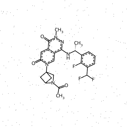 CC(=O)N1CC2(n3cc4c(N[C@H](C)c5cccc(C(F)F)c5F)nn(C)c(=O)c4cc3=O)CC1C2